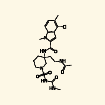 CNC(=O)NS(=O)(=O)N1CCCC(CCNC(C)=O)(NC(=O)c2cc3c(Cl)c(C)ccc3n2C)C1